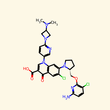 CN(C)C1CN(c2ccc(-n3cc(C(=O)O)c(=O)c4cc(Cl)c(N5CCC[C@@H]5COc5nc(N)ccc5Cl)cc43)cn2)C1